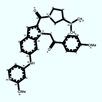 COc1ccc(C(=O)Cn2c(C(=O)N3CCC(N(C)C)C3)cc3ccc(Nc4ccnc(OC)c4)cc32)cc1